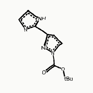 CC(C)(C)OC(=O)n1ccc(-c2ncc[nH]2)n1